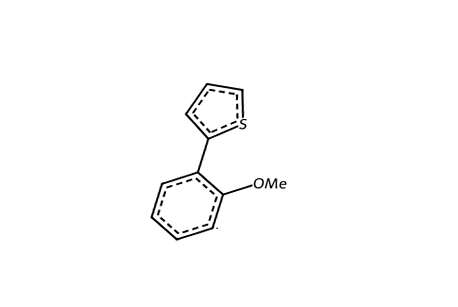 COc1[c]cccc1-c1cccs1